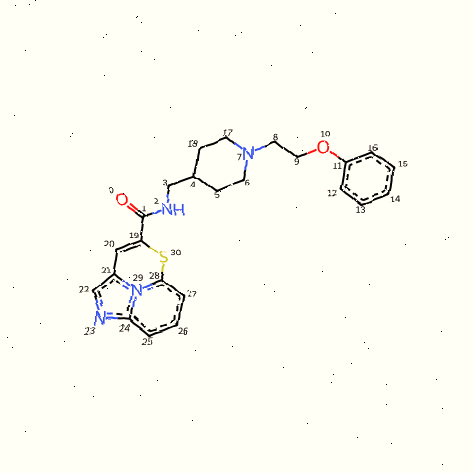 O=C(NCC1CCN(CCOc2ccccc2)CC1)C1=Cc2cnc3cccc(n23)S1